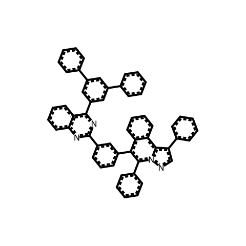 c1ccc(-c2cc(-c3ccccc3)cc(-c3nc(-c4cccc(-c5c(-c6ccccc6)n6ncc(-c7ccccc7)c6c6ccccc56)c4)nc4ccccc34)c2)cc1